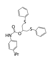 CC(C)c1ccc(NC(=O)OC(CSc2ccccc2)CSc2ccccc2)cc1